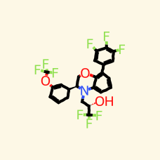 O[C@@H](CN1c2cccc(-c3cc(F)c(F)c(F)c3)c2OC[C@@H]1C1C=C(OC(F)(F)F)C=CC1)C(F)(F)F